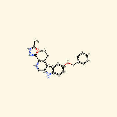 COCc1c(-c2nnc(C)o2)ncc2[nH]c3ccc(OCc4ccccc4)cc3c12